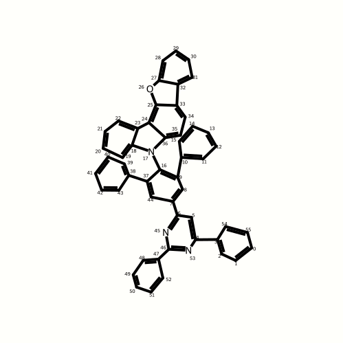 c1ccc(-c2cc(-c3cc(-c4ccccc4)c(-n4c5ccccc5c5c6oc7ccccc7c6ccc54)c(-c4ccccc4)c3)nc(-c3ccccc3)n2)cc1